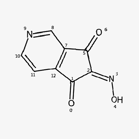 O=c1c(=NO)c(=O)c2cnccc12